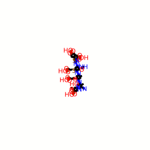 COc1cc2c(cc1S(=O)(=O)O)nc1c(C#N)c(C)c(N=Nc3cc(C)c(N=Nc4cc(NC(C)=O)c(N=Nc5nc6c(S(=O)(=O)O)cc7cc(S(=O)(=O)O)ccc7c6s5)cc4SCCCS(=O)(=O)O)cc3OCCCS(=O)(=O)O)c(O)n12